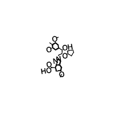 COc1cc(C(=O)O)c2nn(CC(OC3CCCC3)C(O)c3cc(OC)c(C)c(OC)c3)cc2c1